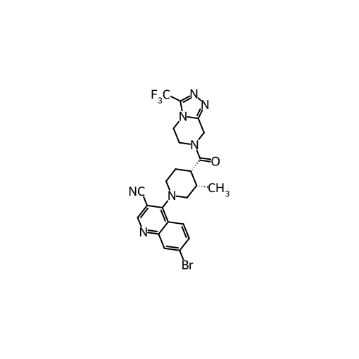 C[C@@H]1CN(c2c(C#N)cnc3cc(Br)ccc23)CC[C@@H]1C(=O)N1CCn2c(nnc2C(F)(F)F)C1